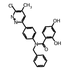 Cc1cc(-c2ccc(N(Cc3ccccc3)C(=O)c3ccc(O)cc3O)cc2)nnc1Cl